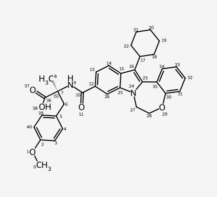 COc1ccc(C[C@](C)(NC(=O)c2ccc3c(C4CCCCC4)c4n(c3c2)CCOc2ccccc2-4)C(=O)O)cc1